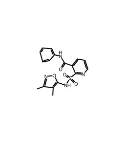 Cc1noc(NS(=O)(=O)c2ncccc2C(=O)Nc2ccccc2)c1C